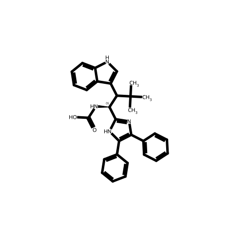 CC(C)(C)C(c1c[nH]c2ccccc12)[C@H](NC(=O)O)c1nc(-c2ccccc2)c(-c2ccccc2)[nH]1